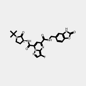 CC(C)(C)N1CC[C@H](NC(=O)c2cc(C(=O)NCc3ccc4oc(=O)[nH]c4c3)nc3c(F)cnn23)C1=O